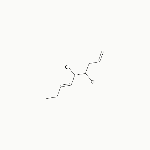 C=CCC(Cl)C(Cl)C=CCC